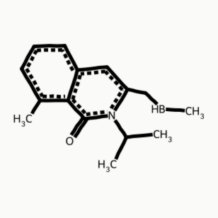 CBCc1cc2cccc(C)c2c(=O)n1C(C)C